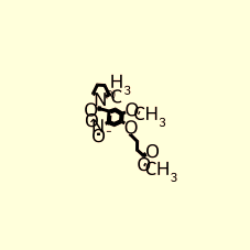 COC(=O)CCCOc1cc([N+](=O)[O-])c(C(=O)N2CCC[C@H]2C)cc1OC